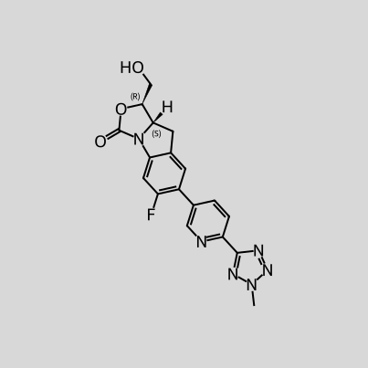 Cn1nnc(-c2ccc(-c3cc4c(cc3F)N3C(=O)O[C@@H](CO)[C@@H]3C4)cn2)n1